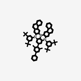 Cc1cc(-c2ccccc2)cc(C)c1-c1cc2c3c(c1)N(c1cc(C(C)(C)C)cc(C(C)(C)C)c1)c1cc4ccc5ccccc5c4cc1B3c1cc3c(ccc4ccccc43)cc1N2c1cc(C(C)(C)C)cc(C(C)(C)C)c1